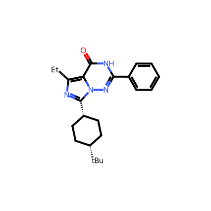 CCc1nc([C@H]2CC[C@@H](C(C)(C)C)CC2)n2nc(-c3ccccc3)[nH]c(=O)c12